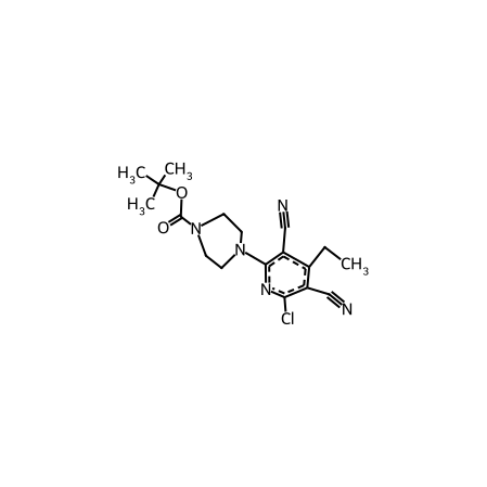 CCc1c(C#N)c(Cl)nc(N2CCN(C(=O)OC(C)(C)C)CC2)c1C#N